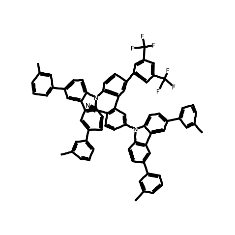 Cc1cccc(-c2ccc3c(c2)c2cc(-c4cccc(C)c4)ccc2n3-c2ccc(C#N)c(-c3cc(-c4cc(C(F)(F)F)cc(C(F)(F)F)c4)ccc3-n3c4ccc(-c5cccc(C)c5)cc4c4cc(-c5cccc(C)c5)ccc43)c2)c1